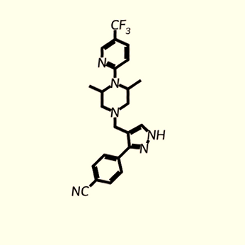 CC1CN(Cc2c[nH]nc2-c2ccc(C#N)cc2)CC(C)N1c1ccc(C(F)(F)F)cn1